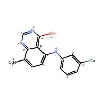 O=[N+]([O-])c1ccc(Nc2cccc(Cl)c2)c2c(O)ncnc12